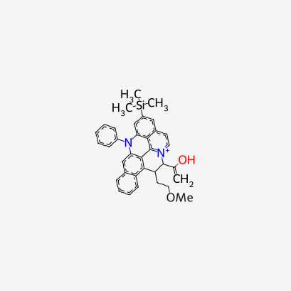 C=C(O)C1C(CCOC)c2c3c(cc4ccccc24)N(c2ccccc2)c2cc([Si](C)(C)C)cc4cc[n+]1c-3c24